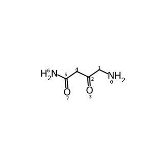 NCC(=O)CC(N)=O